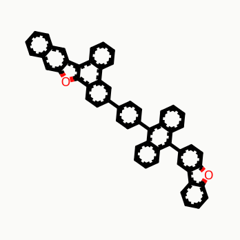 c1ccc2cc3c(cc2c1)oc1c2ccc(-c4ccc(-c5c6ccccc6c(-c6ccc7oc8ccccc8c7c6)c6ccccc56)cc4)cc2c2ccccc2c31